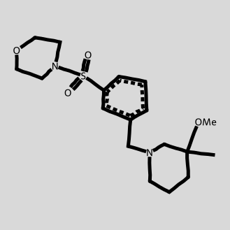 COC1(C)CCCN(Cc2cccc(S(=O)(=O)N3CCOCC3)c2)C1